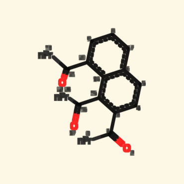 CCCC(=O)c1ccc2[c]ccc(C(=O)CCC)c2c1C(=O)CCC